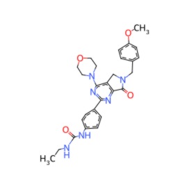 CCNC(=O)Nc1ccc(-c2nc3c(c(N4CCOCC4)n2)CN(Cc2ccc(OC)cc2)C3=O)cc1